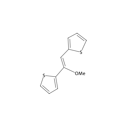 CO/C(=C\c1cccs1)c1cccs1